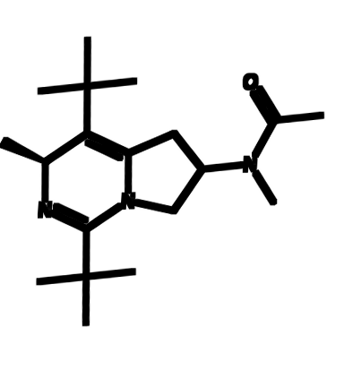 CC(=O)N(C)C1CC2=C(C(C)(C)C)[C@H](C)N=C(C(C)(C)C)N2C1